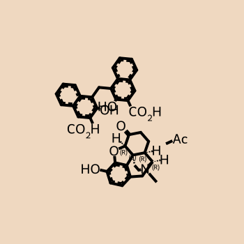 CC(C)=O.CN1CC[C@]23c4c5ccc(O)c4O[C@H]2C(=O)CC[C@H]3[C@H]1C5.O=C(O)c1cc2ccccc2c(Cc2c(O)c(C(=O)O)cc3ccccc23)c1O